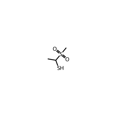 CC(S)S(C)(=O)=O